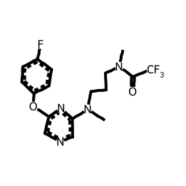 CN(CCCN(C)c1cncc(Oc2ccc(F)cc2)n1)C(=O)C(F)(F)F